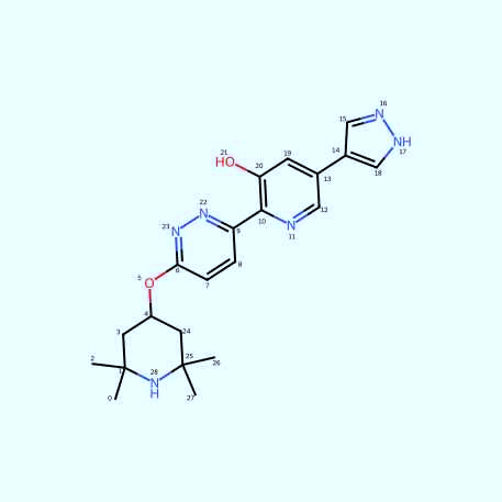 CC1(C)CC(Oc2ccc(-c3ncc(-c4cn[nH]c4)cc3O)nn2)CC(C)(C)N1